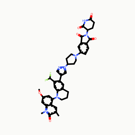 COc1cc(N2CCCc3cc(-c4cnn(C5CCN(c6ccc7c(c6)C(=O)N(C6CCC(=O)NC6=O)C7=O)CC5)c4)c(C(F)F)cc32)c2cc(C)c(=O)n(C)c2c1